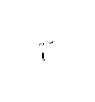 [CaH+].[OH-].[O]=[Ni]